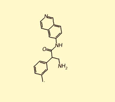 [CH2]c1cccc(C(CN)C(=O)Nc2ccc3cnccc3c2)c1